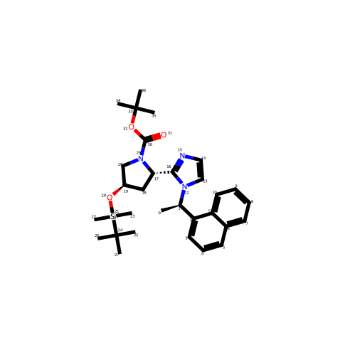 C[C@H](c1cccc2ccccc12)n1ccnc1[C@@H]1C[C@@H](O[Si](C)(C)C(C)(C)C)CN1C(=O)OC(C)(C)C